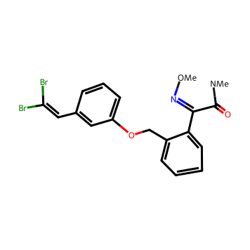 CNC(=O)C(=NOC)c1ccccc1COc1cccc(C=C(Br)Br)c1